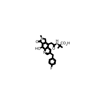 CN1Cc2c(c(O)c3ncc(Cc4ccc(F)cc4)cc3c2CC(=O)NC(C)(C)C(=O)O)C1=O